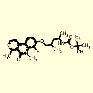 Cc1nccc2c1c(=O)n(C)c1c(F)c(OCC(C)CC(C)NC(=O)OC(C)(C)C)ccc21